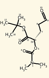 CN(C)C(=O)O[C@@H](CCC=O)C(=O)OC(C)(C)C